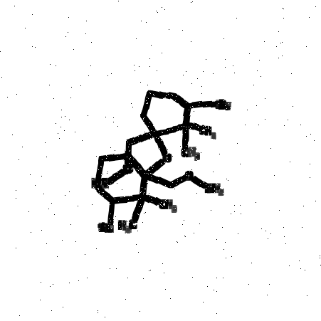 CC(C)(C)C1CCCC(CO[SiH3])(OC2(CO[SiH3])CCCC(C(C)(C)C)C2(C)C)C1(C)C